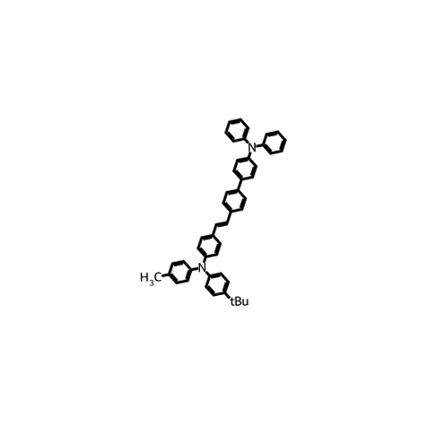 Cc1ccc(N(c2ccc(/C=C/c3ccc(-c4ccc(N(c5ccccc5)c5ccccc5)cc4)cc3)cc2)c2ccc(C(C)(C)C)cc2)cc1